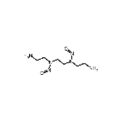 NCCN(CCN(CCN)N=O)N=O